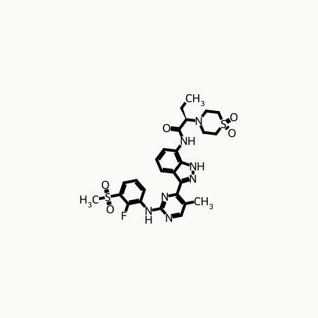 CC[C@H](C(=O)Nc1cccc2c(-c3nc(Nc4cccc(S(C)(=O)=O)c4F)ncc3C)n[nH]c12)N1CCS(=O)(=O)CC1